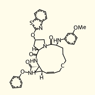 COc1cccc(N[C@H]2CCCCC/C=C\[C@@H]3C[C@@]3(C(=O)NOc3ccccc3)NC(=O)[C@@H]3C[C@@H](Oc4nc5ccccc5s4)CN3C2=O)c1